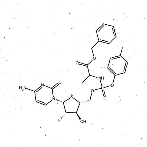 CC(NP(=O)(OC[C@H]1S[C@@H](n2ccc(N)nc2=O)[C@@H](F)[C@@H]1O)Oc1ccc(I)cc1)C(=O)OCc1ccccc1